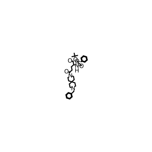 CC(C)(C)OC(=O)C(CCC(=O)N1CCC2(CCN(Cc3ccccc3)CC2)CC1)NS(=O)(=O)c1ccccc1